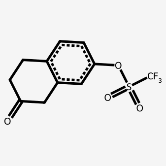 O=C1CCc2ccc(OS(=O)(=O)C(F)(F)F)cc2C1